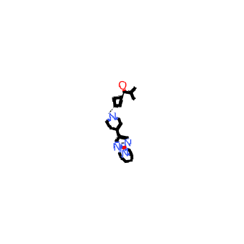 CC(C)C(=O)[C@H]1C[C@H](CN2CCC(c3cnc(N4C5CCC4CN(C)C5)nc3)CC2)C1